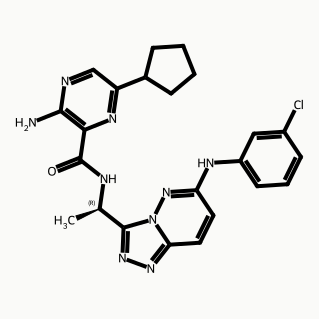 C[C@@H](NC(=O)c1nc(C2CCCC2)cnc1N)c1nnc2ccc(Nc3cccc(Cl)c3)nn12